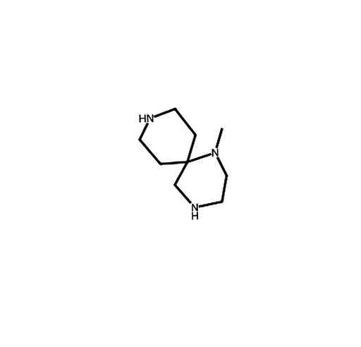 CN1CCNCC12CCNCC2